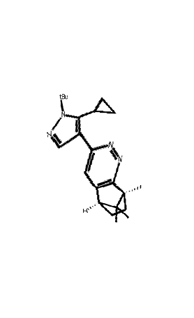 CC(C)(C)n1ncc(-c2cc3c(nn2)[C@@]2(C)CC[C@@H]3C2(C)C)c1C1CC1